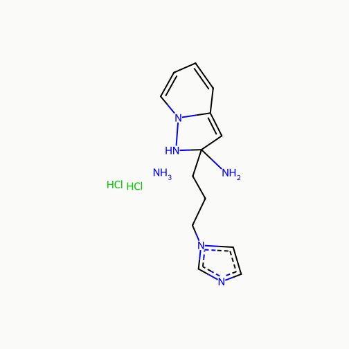 Cl.Cl.N.NC1(CCCn2ccnc2)C=C2C=CC=CN2N1